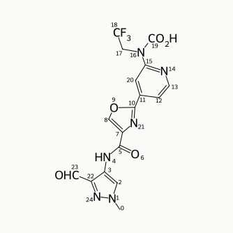 Cn1cc(NC(=O)c2coc(-c3ccnc(N(CC(F)(F)F)C(=O)O)c3)n2)c(C=O)n1